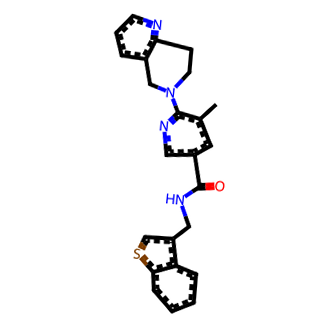 Cc1cc(C(=O)NCc2csc3ccccc23)cnc1N1CCc2ncccc2C1